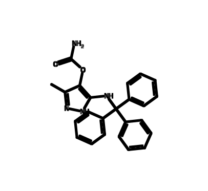 Cc1n[nH]c(NC(c2ccccc2)(c2ccccc2)c2ccccc2)c1OC(N)=O